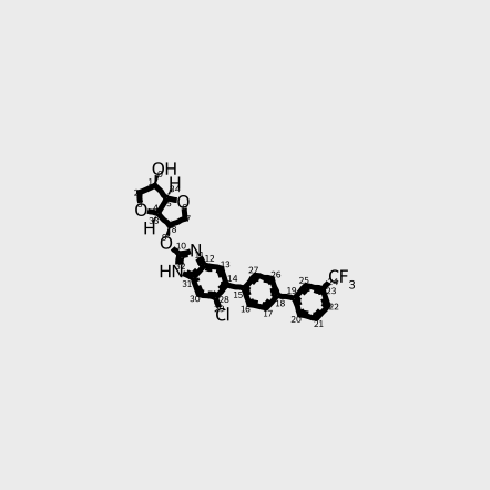 O[C@@H]1CO[C@H]2[C@@H]1OC[C@H]2Oc1nc2cc(-c3ccc(-c4cccc(C(F)(F)F)c4)cc3)c(Cl)cc2[nH]1